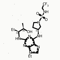 CC[C@H](Nc1nc(N[C@H]2CCN(S(=O)(=O)NCC(F)(F)F)C2)c2ncn(CC)c2n1)[C@@H](C)O